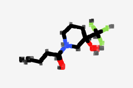 CCCC(=O)N1CCCC(O)(C(F)(F)F)C1